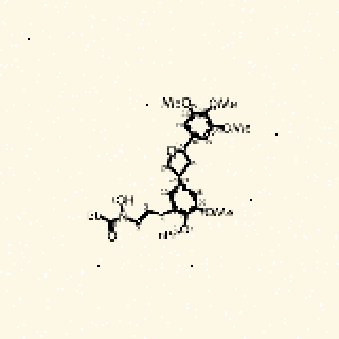 CCCOc1c(CC=CN(O)C(=O)CC)cc(C2COC(c3cc(OC)c(OC)c(OC)c3)C2)cc1OC